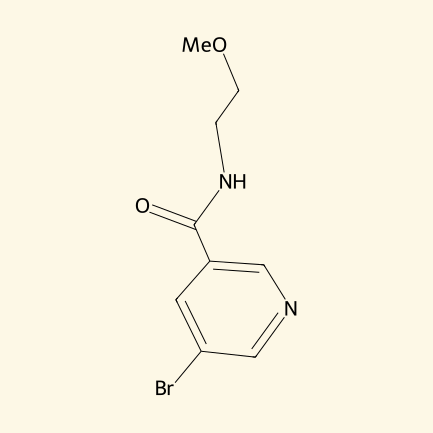 COCCNC(=O)c1cncc(Br)c1